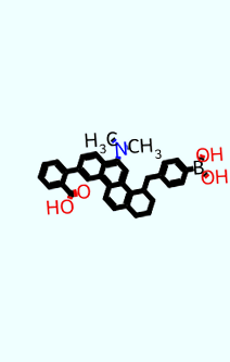 CN(C)c1cc2c3c(ccc2c2cc(-c4ccccc4C(=O)O)ccc12)CCCC3Cc1ccc(B(O)O)cc1